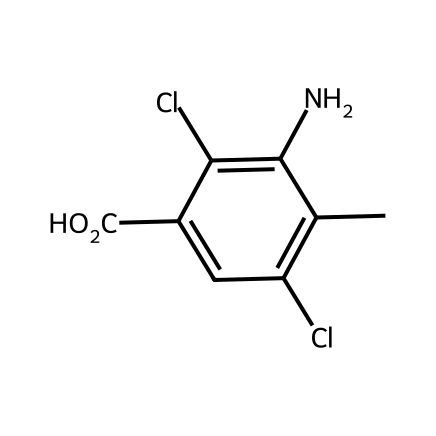 Cc1c(Cl)cc(C(=O)O)c(Cl)c1N